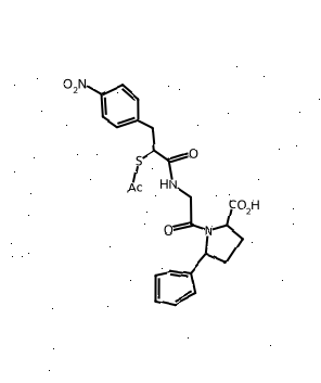 CC(=O)SC(Cc1ccc([N+](=O)[O-])cc1)C(=O)NCC(=O)N1C(C(=O)O)CCC1c1ccccc1